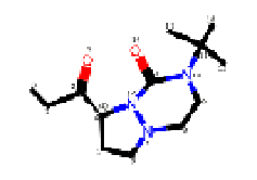 CCC(=O)[C@@H]1CCN2CCN(C(C)(C)C)C(=O)N12